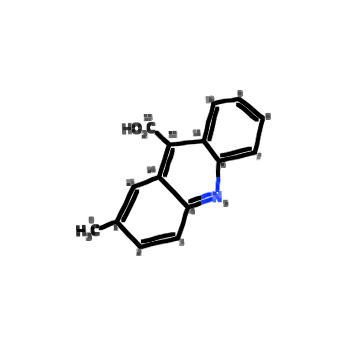 Cc1ccc2nc3ccccc3c(C(=O)O)c2c1